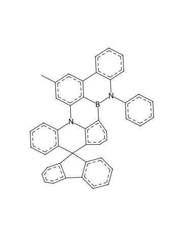 Cc1cc2c3c(c1)N1c4ccccc4C4(c5ccccc5-c5ccccc54)c4cccc(c41)B3N(c1ccccc1)c1ccccc1-2